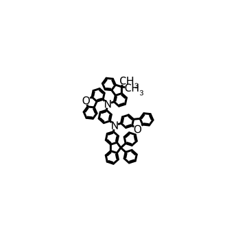 CC1(C)c2ccccc2-c2c(N(c3cccc(N(c4ccc5c(c4)C(c4ccccc4)(c4ccccc4)c4ccccc4-5)c4ccc5c(c4)oc4ccccc45)c3)c3cccc4oc5ccccc5c34)cccc21